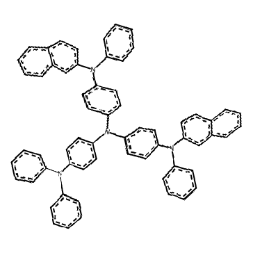 c1ccc(N(c2ccccc2)c2ccc(N(c3ccc(N(c4ccccc4)c4ccc5ccccc5c4)cc3)c3ccc(N(c4ccccc4)c4ccc5ccccc5c4)cc3)cc2)cc1